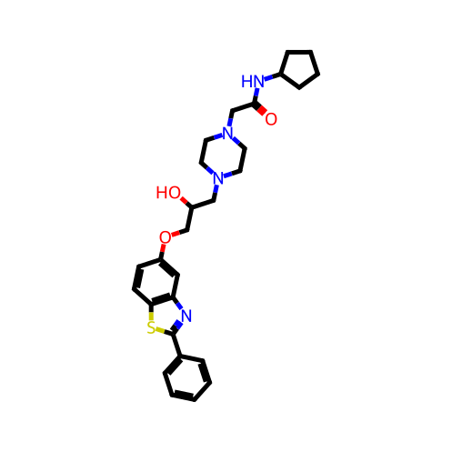 O=C(CN1CCN(CC(O)COc2ccc3sc(-c4ccccc4)nc3c2)CC1)NC1CCCC1